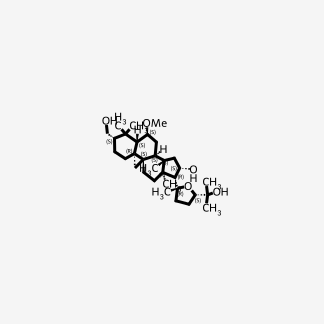 CO[C@H]1C[C@@H]2[C@]3(CC[C@]4(C)[C@@H]([C@@]5(C)CC[C@@H](C(C)(C)O)O5)[C@@H](O)C[C@@]24C)C[C@@]32CC[C@H](CO)C(C)(C)[C@H]12